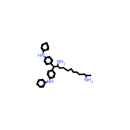 CC(N)CCCCCCCCC(N)C(c1ccc(Nc2ccccc2)cc1)c1ccc(Nc2ccccc2)cc1